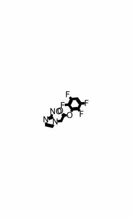 O=C(Cn1ccnc1[N+](=O)[O-])Oc1c(F)c(F)cc(F)c1F